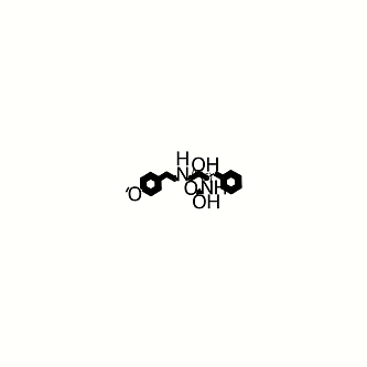 COc1ccc(CCNC[C@@H](O)[C@H](Cc2ccccc2)NC(=O)O)cc1